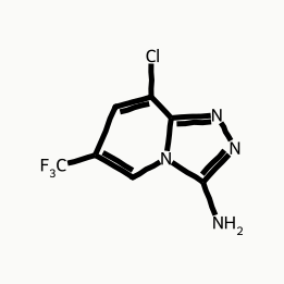 Nc1nnc2c(Cl)cc(C(F)(F)F)cn12